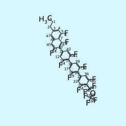 CCCc1cc(F)c2c(F)c(-c3cc(F)c(-c4cc(F)c(-c5cc(F)c(C(F)(F)OC(F)(F)F)c(F)c5)c(F)c4)c(F)c3)c(F)cc2c1